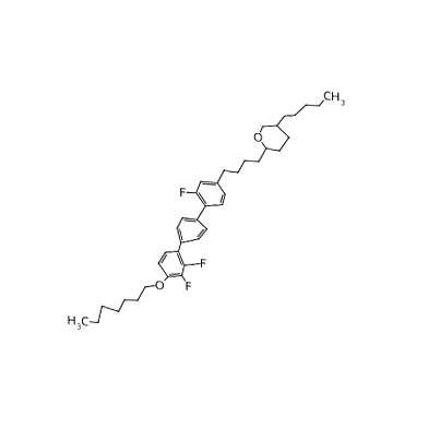 CCCCCCCOc1ccc(-c2ccc(-c3ccc(CCCCC4CCC(CCCCC)CO4)cc3F)cc2)c(F)c1F